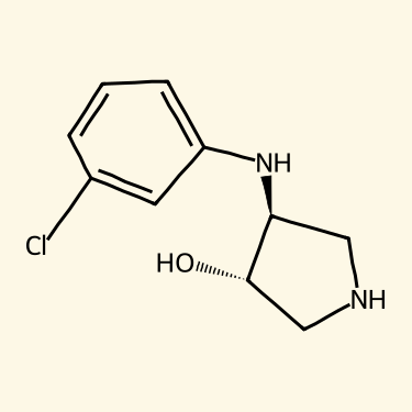 O[C@H]1CNC[C@@H]1Nc1cccc(Cl)c1